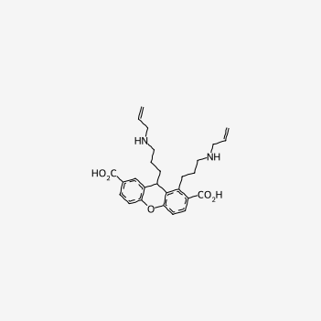 C=CCNCCCc1c(C(=O)O)ccc2c1C(CCCNCC=C)c1cc(C(=O)O)ccc1O2